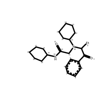 CCC(C(=O)c1ccccc1)N(CC(=O)NC1CCCCC1)C1CCCCC1